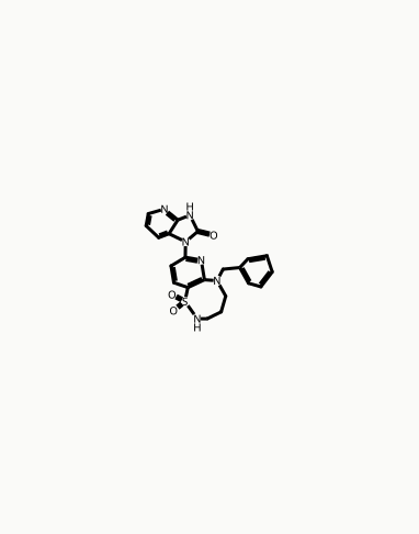 O=c1[nH]c2ncccc2n1-c1ccc2c(n1)N(Cc1ccccc1)CCCNS2(=O)=O